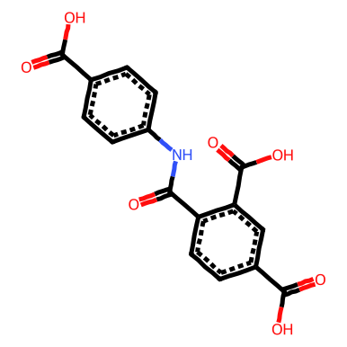 O=C(O)c1ccc(NC(=O)c2ccc(C(=O)O)cc2C(=O)O)cc1